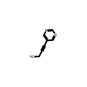 OCC#Cc1cn[c]nc1